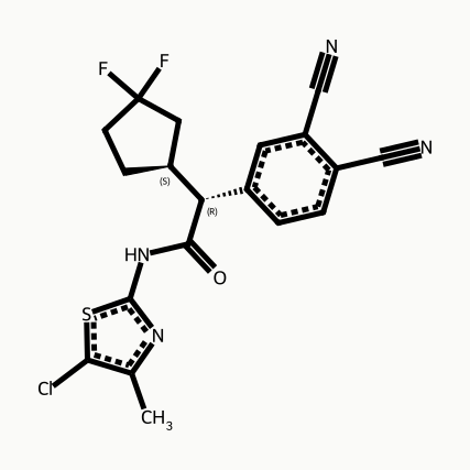 Cc1nc(NC(=O)[C@@H](c2ccc(C#N)c(C#N)c2)[C@H]2CCC(F)(F)C2)sc1Cl